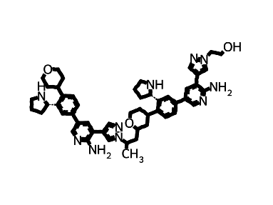 CC(CC1CC(c2ccc(-c3cnc(N)c(-c4cnn(CCO)c4)c3)cc2[C@@H]2CCCN2)CCO1)n1cc(-c2cc(-c3ccc(C4CCOCC4)c([C@@H]4CCCN4)c3)cnc2N)cn1